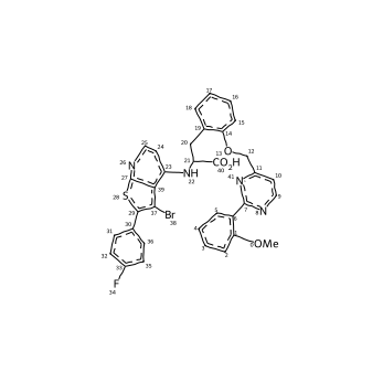 COc1ccccc1-c1nccc(COc2ccccc2CC(Nc2ccnc3sc(-c4ccc(F)cc4)c(Br)c23)C(=O)O)n1